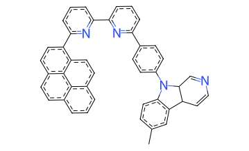 Cc1ccc2c(c1)C1C=CN=CC1N2c1ccc(-c2cccc(-c3cccc(-c4ccc5ccc6cccc7ccc4c5c67)n3)n2)cc1